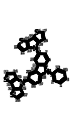 c1ccc(-n2c3ccc(-n4c5ccsc5c5sccc54)cc3c3cc(-n4c5ccsc5c5sccc54)ccc32)cc1